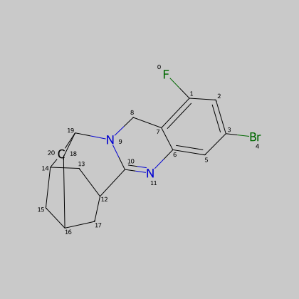 Fc1cc(Br)cc2c1CN1C(=N2)C2CC3CC(C2)CC1C3